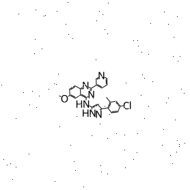 COc1ccc2nc(-c3cccnc3)nc(Nc3cc(-c4ccc(Cl)cc4C)n[nH]3)c2c1